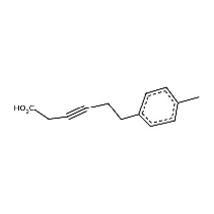 Cc1ccc(CCC#CCC(=O)O)cc1